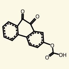 O=C(O)Oc1ccc2c(c1)C(=O)C(=O)c1ccccc1-2